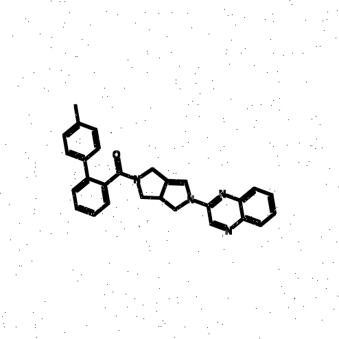 Cc1ccc(-c2ccccc2C(=O)N2CC3=CN(c4cnc5ccccc5n4)CC3C2)cc1